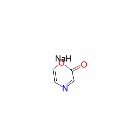 O=c1cncco1.[NaH]